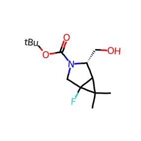 CC(C)(C)OC(=O)N1CC2(F)C([C@H]1CO)C2(C)C